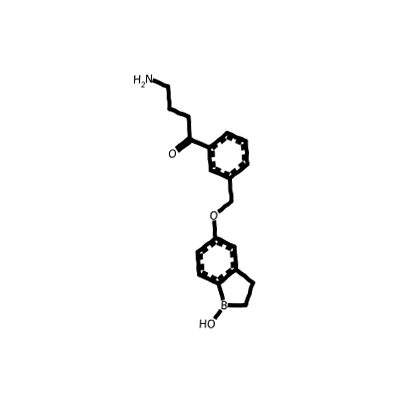 NCCCC(=O)c1cccc(COc2ccc3c(c2)CCB3O)c1